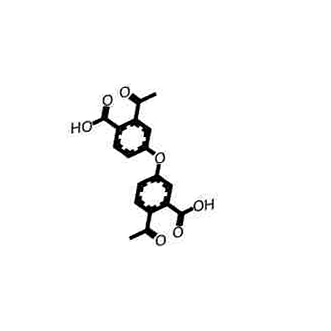 CC(=O)c1cc(Oc2ccc(C(C)=O)c(C(=O)O)c2)ccc1C(=O)O